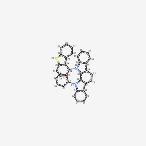 c1ccc(-n2c3ccccc3c3ccc4c5ccccc5n(-c5cccc6sc7ccccc7c56)c4c32)cc1